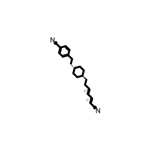 N#C/C=C/C=C/CC[C@H]1CC[C@H](CCc2ccc(C#N)cc2)CC1